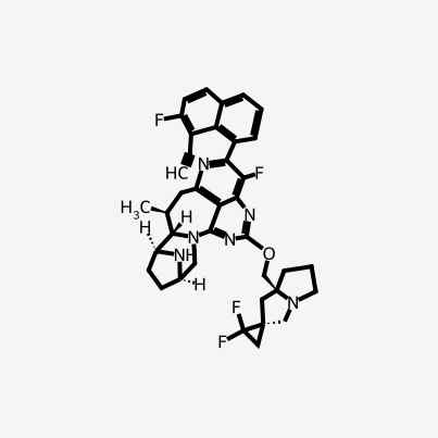 C#Cc1c(F)ccc2cccc(-c3nc4c5c(nc(OC[C@@]67CCCN6C[C@@]6(CC6(F)F)C7)nc5c3F)N3C[C@H]5CC[C@H](N5)[C@@H]3[C@@H](C)C4)c12